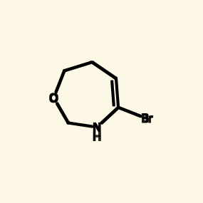 BrC1=CCCOCN1